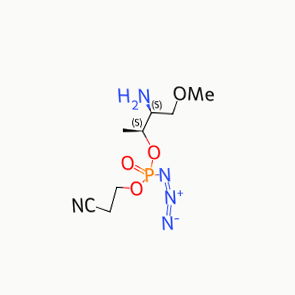 COC[C@H](N)[C@H](C)OP(=O)(N=[N+]=[N-])OCCC#N